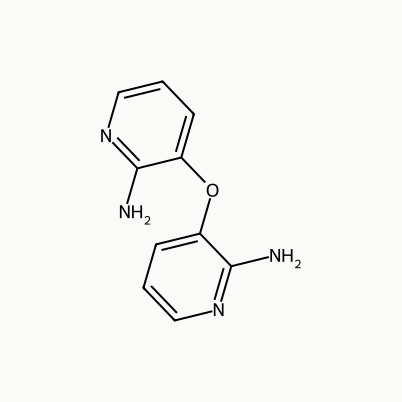 Nc1ncccc1Oc1cccnc1N